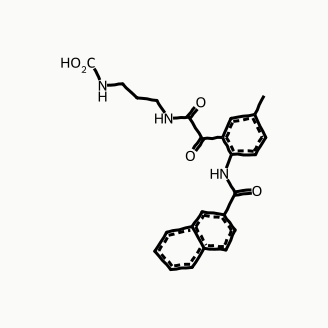 Cc1ccc(NC(=O)c2ccc3ccccc3c2)c(C(=O)C(=O)NCCCNC(=O)O)c1